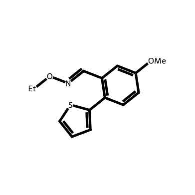 CCO/N=C/c1cc(OC)ccc1-c1cccs1